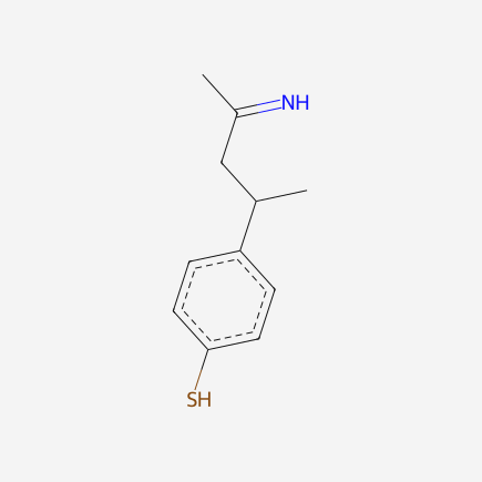 CC(=N)CC(C)c1ccc(S)cc1